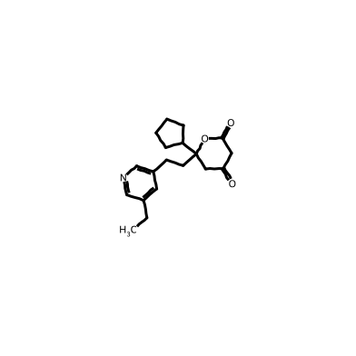 CCc1cncc(CCC2(C3CCCC3)CC(=O)CC(=O)O2)c1